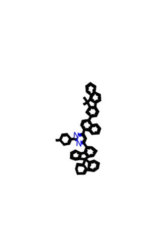 CC1C=CC(c2nc(-c3cccc4c3-c3ccccc3C4(C3=CCCC=C3)c3ccccc3)cc(-c3ccc(-c4ccc5c(c4)C(C)(C)c4c-5ccc5ccccc45)c4ccccc34)n2)=CC1